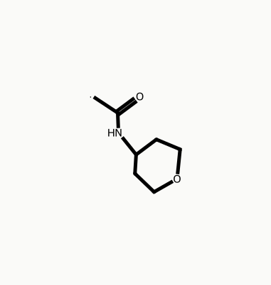 [CH2]C(=O)NC1CCOCC1